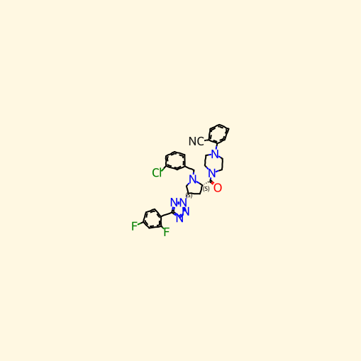 N#Cc1ccccc1N1CCN(C(=O)[C@@H]2C[C@H](n3nnc(-c4ccc(F)cc4F)n3)CN2Cc2cccc(Cl)c2)CC1